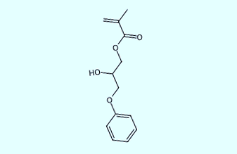 C=C(C)C(=O)OCC(O)COc1ccccc1